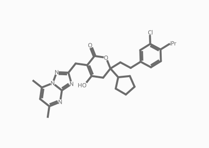 Cc1cc(C)n2nc(CC3=C(O)CC(CCc4ccc(C(C)C)c(Cl)c4)(C4CCCC4)OC3=O)nc2n1